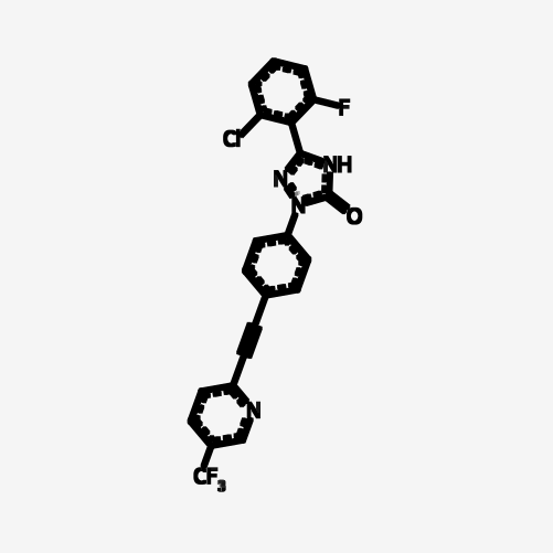 O=c1[nH]c(-c2c(F)cccc2Cl)nn1-c1ccc(C#Cc2ccc(C(F)(F)F)cn2)cc1